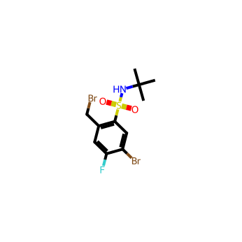 CC(C)(C)NS(=O)(=O)c1cc(Br)c(F)cc1CBr